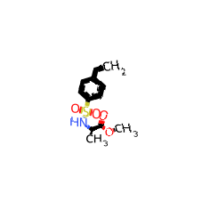 C=Cc1ccc(S(=O)(=O)N[C@H](C)C(=O)OC)cc1